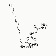 CCC=CCC=CCCCCCC(CCCCCCC)C(C=O)OC(=O)NCC(=O)NN